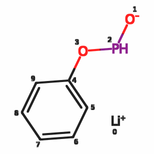 [Li+].[O-]POc1ccccc1